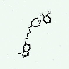 Cn1ncc2ccc(OCCCCN3CCCN(c4cccc(Cl)c4Cl)CC3)cc21